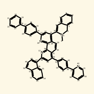 CN1Cc2ccccc2C=C1c1cc(-c2ccc(-c3ccccc3)cc2)nc2c1ccc1c(-c3ccc(-c4ccccn4)cc3)cc(-c3cccc4ccccc34)nc12